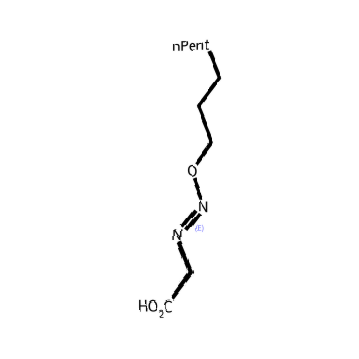 CCCCCCCCO/N=N/CC(=O)O